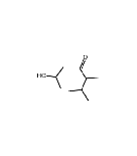 CC(C)C(C)C=O.CC(C)O